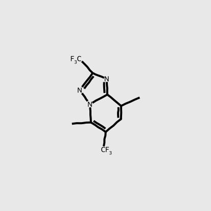 Cc1cc(C(F)(F)F)c(C)n2nc(C(F)(F)F)nc12